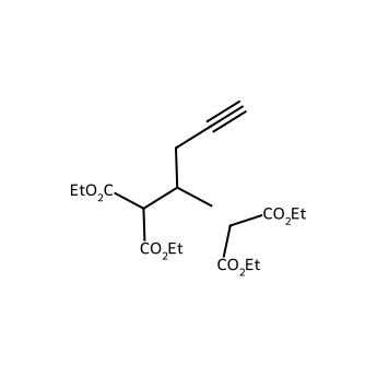 C#CCC(C)C(C(=O)OCC)C(=O)OCC.CCOC(=O)CC(=O)OCC